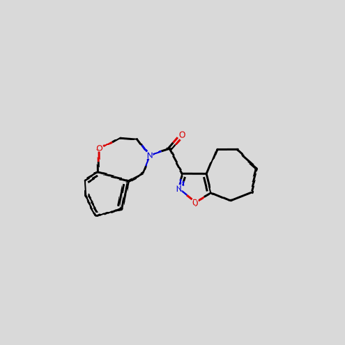 O=C(c1noc2c1CCCCC2)N1CCOc2ccccc2C1